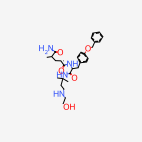 CC(C[CH]C(=O)NC(Cc1ccc(OCc2ccccc2)cc1)C(=O)NC(C)(C)CCNCCO)C(N)=O